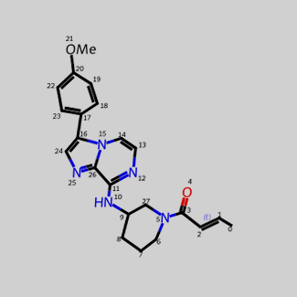 C/C=C/C(=O)N1CCCC(Nc2nccn3c(-c4ccc(OC)cc4)cnc23)C1